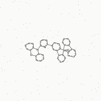 O=S12(c3ccccc3-c3ccccc31)c1ccccc1-c1cc(-c3cccc(N4c5ccccc5Oc5ccccc54)n3)ccc12